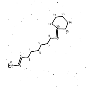 CCC=CCCCCCCC=C1CCCCC1